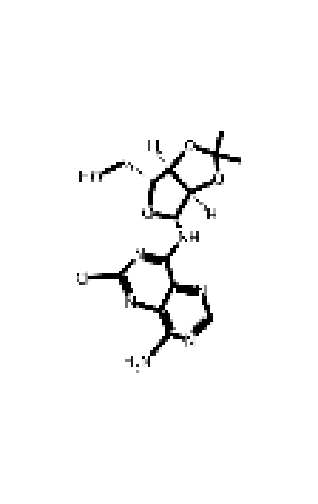 CC1(C)O[C@@H]2[C@H](O1)[C@@H](CO)O[C@H]2Nc1nc(Cl)nc2c(N)ncnc12